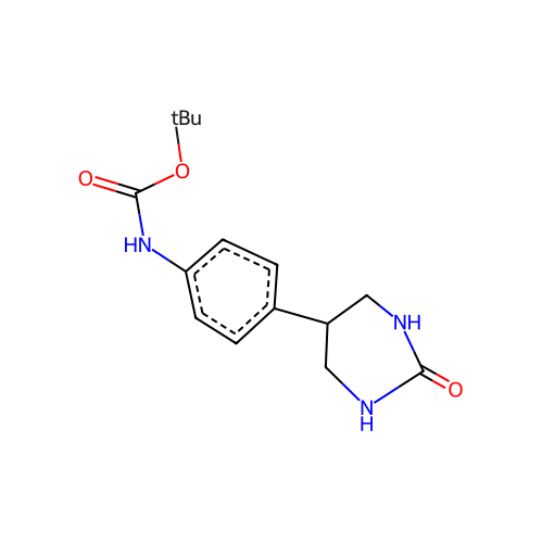 CC(C)(C)OC(=O)Nc1ccc(C2CNC(=O)NC2)cc1